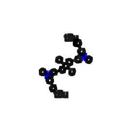 CC(C)(C)c1ccc(-c2ccc3c(c2)c2cc(-c4ccc5c(-c6ccccc6)c6cc(-c7ccc8c(c7)c7cc(-c9ccc(C(C)(C)C)cc9)ccc7n8-c7ccccc7)ccc6c(-c6ccccc6)c5c4)ccc2n3-c2ccccc2)cc1